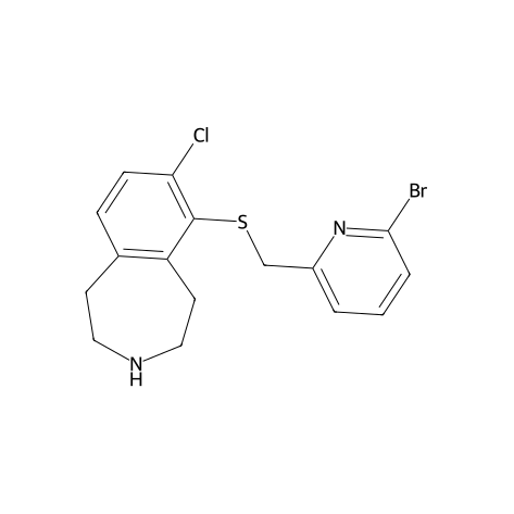 Clc1ccc2c(c1SCc1cccc(Br)n1)CCNCC2